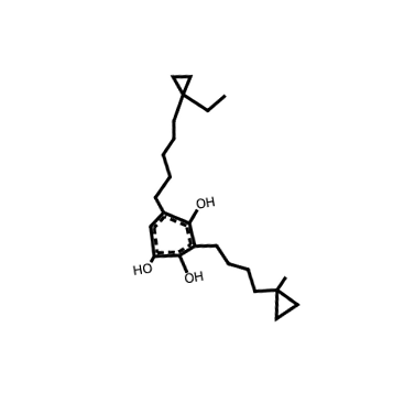 CCC1(CCCCCc2cc(O)c(O)c(CCCCC3(C)CC3)c2O)CC1